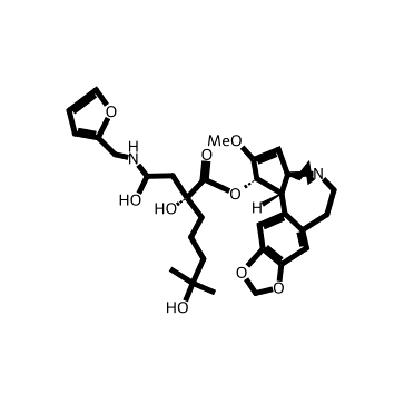 COC1=C[C@]23CCCN2CCc2cc4c(cc2[C@@H]3[C@@H]1OC(=O)[C@@](O)(CCCC(C)(C)O)CC(O)NCc1ccco1)OCO4